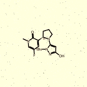 Cn1cc(F)cc([C@H]2CCCN2c2cc(O)nn2C(C)(C)C)c1=O